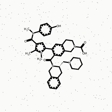 Cc1c(C(=O)N(C)c2ccc(O)cc2)cc(-c2cc3c(cc2C(=O)N2Cc4ccccc4C[C@H]2CN2CCCCC2)CN(C(=O)O)CC3)n1C